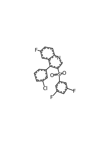 O=S(=O)(c1cc(F)cc(F)c1)c1cnc2ccc(F)cc2c1-c1cccc(Cl)c1